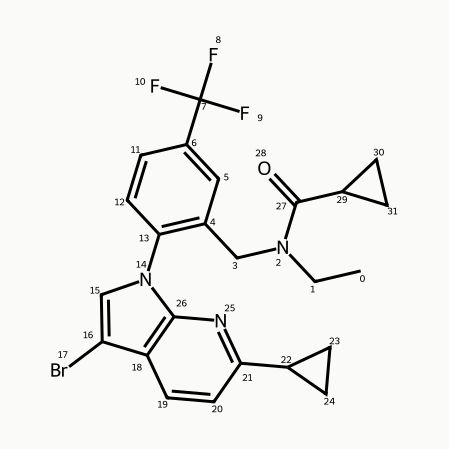 CCN(Cc1cc(C(F)(F)F)ccc1-n1cc(Br)c2ccc(C3CC3)nc21)C(=O)C1CC1